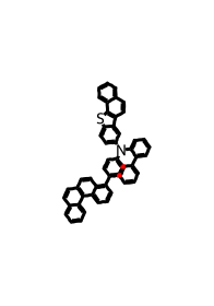 c1ccc(-c2ccccc2N(c2ccc(-c3cccc4c3ccc3ccc5ccccc5c34)cc2)c2ccc3sc4c5ccccc5ccc4c3c2)cc1